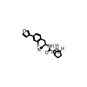 N#CC(Cc1ccc(-c2ccoc2)cc1F)NC(=O)[C@H]1N[C@@H]2CCC1C2